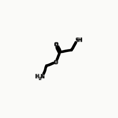 NCOC(=O)CS